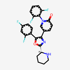 O=c1ccc(-c2nc([C@H]3CCCCN3)oc2-c2ccc(F)cc2F)cn1-c1c(F)cccc1F